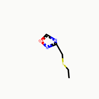 CCSCc1ncon1